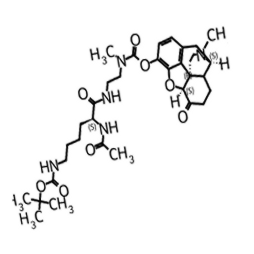 CC(=O)N[C@@H](CCCCNC(=O)OC(C)(C)C)C(=O)NCCN(C)C(=O)Oc1ccc2c3c1O[C@@H]1C(=O)CCC4[C@H](C2)N(C)CC[C@]341